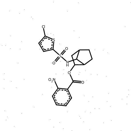 O=C(OC1CC2CCC1C2NS(=O)(=O)c1ccc(Cl)s1)c1ccccc1[N+](=O)[O-]